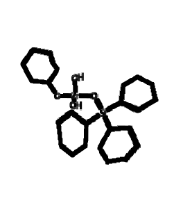 [OH][Zr]([OH])([O]C1CCCCC1)[O][Si](C1CCCCC1)(C1CCCCC1)C1CCCCC1